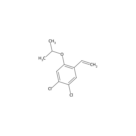 C=Cc1cc(Cl)c(Cl)cc1OC(C)C